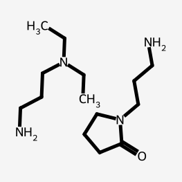 CCN(CC)CCCN.NCCCN1CCCC1=O